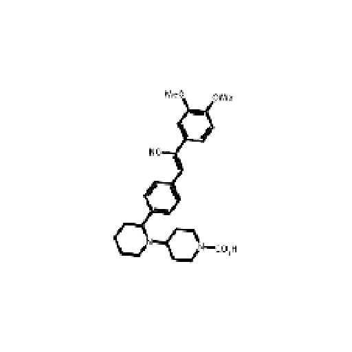 COc1ccc(/C(C#N)=C/c2ccc(C3CCCCN3C3CCN(C(=O)O)CC3)cc2)cc1OC